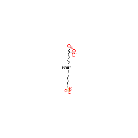 O=C([O-])C=C(CCCCCCCCCCCCCCCS(=O)(=O)O)C(=O)[O-].[Na+].[Na+]